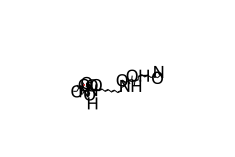 COC(C)C(OC)N(C)C(=O)C1(NC(=O)/C=C/C=C/C=C/C=C\CNC(=O)C(C)(C)C(O)\C(C)=C/C=C\C=C\Cc2cnco2)COCO1